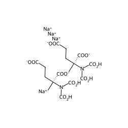 C[C@](CCC(=O)[O-])(C(=O)[O-])N(C(=O)O)C(=O)O.C[C@](CCC(=O)[O-])(C(=O)[O-])N(C(=O)O)C(=O)O.[Na+].[Na+].[Na+].[Na+]